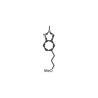 COCCCc1ccc2nn(C)cc2c1